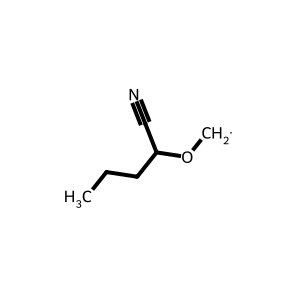 [CH2]OC(C#N)CCC